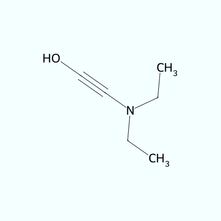 CCN(C#CO)CC